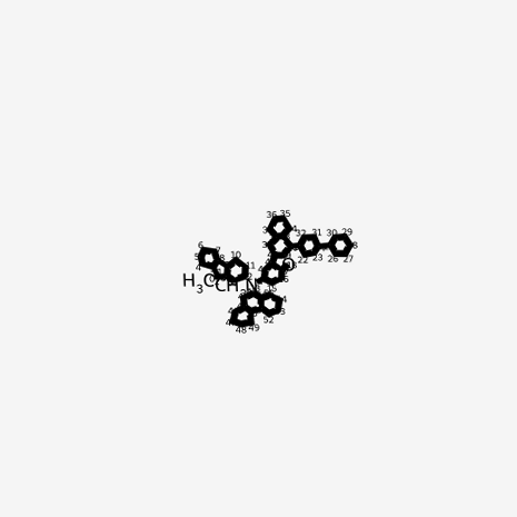 CC1(C)c2ccccc2-c2ccc(N(c3ccc4oc5c(-c6ccc(-c7ccccc7)cc6)c6ccccc6cc5c4c3)c3cc4ccccc4c4ccccc34)cc21